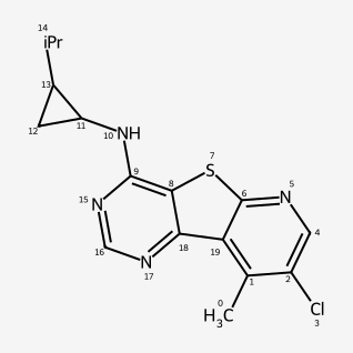 Cc1c(Cl)cnc2sc3c(NC4CC4C(C)C)ncnc3c12